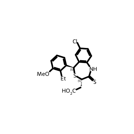 CCc1c(OC)cccc1[C@@H]1S[C@@H](CC(=O)O)C(=S)Nc2ccc(Cl)cc21